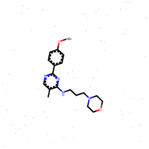 CCCCOc1ccc(-c2ncc(C)c(NCCCN3CCOCC3)n2)cc1